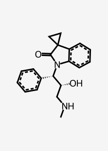 CNC[C@@H](O)[C@H](c1ccccc1)N1C(=O)C2(CC2)c2ccccc21